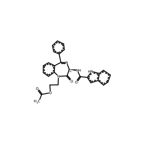 CC(=O)OCCN1C(=O)[C@H](NC(=O)c2cc3ccccc3[nH]2)N=C(c2ccccc2)c2ccccc21